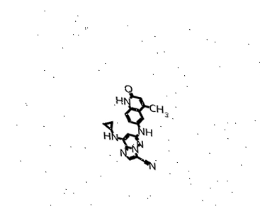 Cc1cc(=O)[nH]c2ccc(Nc3cc(NC4CC4)c4ncc(C#N)n4n3)cc12